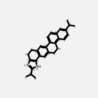 CC(C)c1ccc2c3c(ccc2c1)-c1cc2c(cc1CC3)-c1[nH]c(C(C)C)nc1CC2